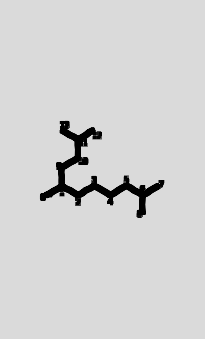 [CH2]C(CCCCC(C)C)CCC(C)C